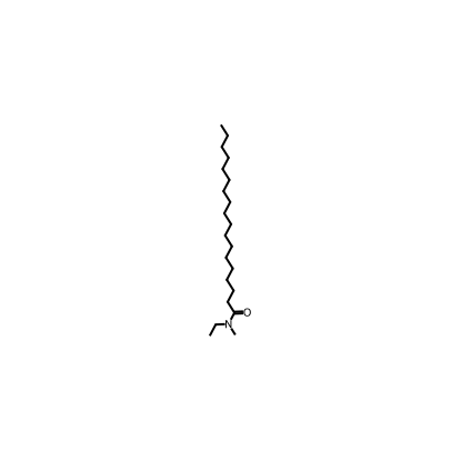 CCCCCCCCCCCCCCCCCC(=O)N(C)CC